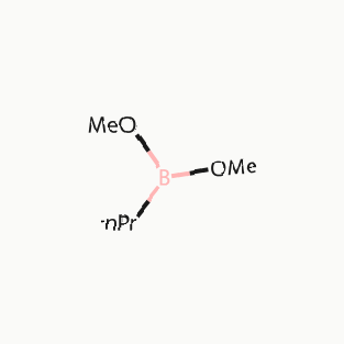 CC[CH]B(OC)OC